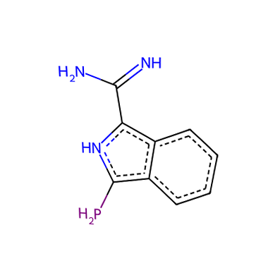 N=C(N)c1[nH]c(P)c2ccccc12